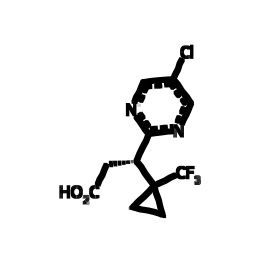 O=C(O)C[C@H](c1ncc(Cl)cn1)C1(C(F)(F)F)CC1